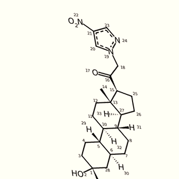 C[C@@]1(O)CC[C@H]2[C@@H](CC[C@@H]3[C@@H]2CC[C@]2(C)[C@@H](C(=O)Cn4cc([N+](=O)[O-])cn4)CC[C@@H]32)C1